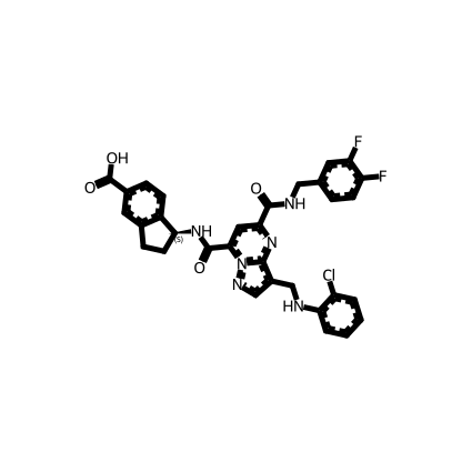 O=C(O)c1ccc2c(c1)CC[C@@H]2NC(=O)c1cc(C(=O)NCc2ccc(F)c(F)c2)nc2c(CNc3ccccc3Cl)cnn12